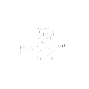 CCCCC(C(CC)C(=O)O)C(C(CC)C(=O)O)(C(CC)C(=O)O)C(CC)C(=O)O.CCCCCC.CCCCCC.CCCCCC.CCCCCC.CCCCCC